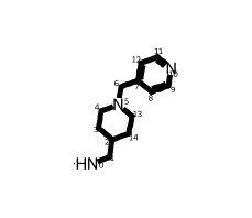 [NH]CC1CCN(Cc2ccncc2)CC1